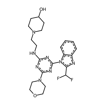 OC1CCN(CCNc2nc(N3CCOCC3)nc(-n3c(C(F)F)nc4ccccc43)n2)CC1